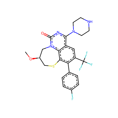 CO[C@@H]1CSc2c(-c3ccc(F)cc3)c(C(F)(F)F)cc3c(N4CCNCC4)nc(=O)n(c23)C1